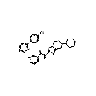 N#Cc1ccc(-c2ccnc(Cc3cccc(C(=O)Nc4nc5c(s4)CC(N4CCOCC4)CC5)c3)n2)cc1